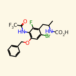 CC(Cc1c(Br)cc(OCc2ccccc2)c(NC(=O)C(F)(F)F)c1F)NC(=O)O